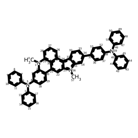 CN1c2cc(N(c3ccccc3)c3ccccc3)ccc2-c2cc3c(c4cccc1c24)c1ccc(-c2ccc(N(c4ccccc4)c4ccccc4)cc2)cc1n3C